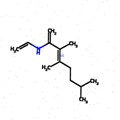 C=CNC(=C)/C(C)=C(\C)CCC(C)C